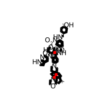 C[C@@H]1C[C@]2(COCCN2C2CC3(CCN(c4ccc(C(=O)NS(=O)(=O)c5ccc(NC[C@H]6CC[C@](C)(O)CC6)c([N+](=O)[O-])c5)c(N5c6cc7cc[nH]c7nc6O[C@H]6COCC[C@@H]65)c4)CC3)C2)c2ccccc21